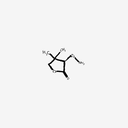 CC1(C)COC(=O)[C@@H]1ON